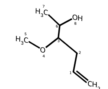 C=CCC(OC)C(C)O